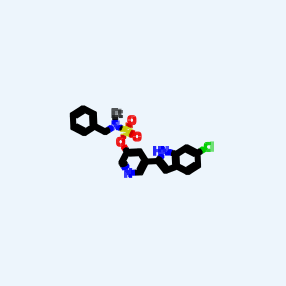 CCN(Cc1ccccc1)S(=O)(=O)Oc1cncc(-c2cc3ccc(Cl)cc3[nH]2)c1